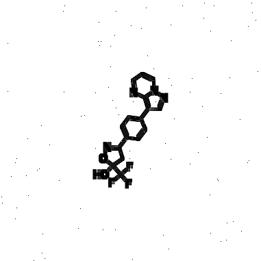 OC1(C(F)(F)F)CC(c2ccc(-c3cnn4cccnc34)cc2)=NO1